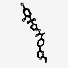 COc1nccc(N2CCC(N(C)C(=O)O[C@H]3CCN(S(=O)(=O)c4ccc(Cl)cc4Cl)C3)CC2)n1